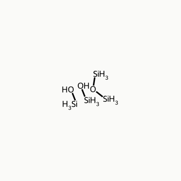 O[SiH3].O[SiH3].[SiH3]O[SiH3]